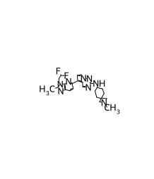 Cc1nc2ccc(-c3ccn4nc(NC5CCC6(CC5)CN(C)C6)ncc34)nc2n1CC(F)F